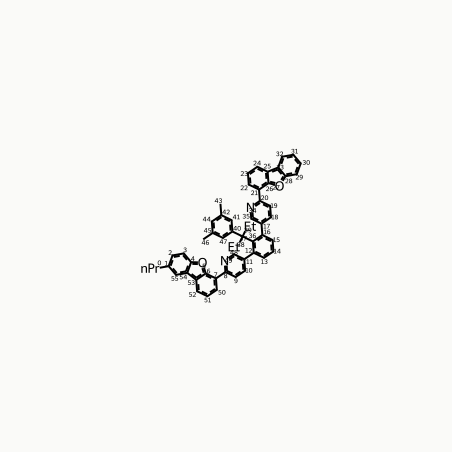 CCCc1ccc2oc3c(-c4ccc(-c5cccc(-c6ccc(-c7cccc8c7oc7ccccc78)nc6)c5C(CC)(CC)c5cc(C)cc(C)c5)cn4)cccc3c2c1